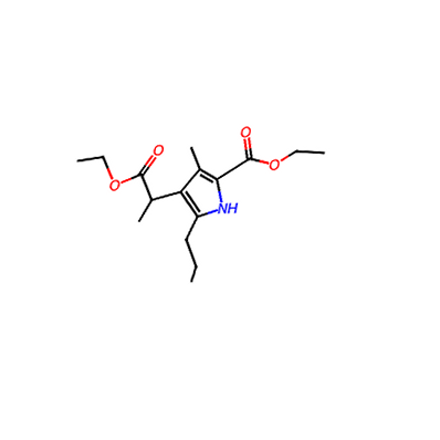 CCCc1[nH]c(C(=O)OCC)c(C)c1C(C)C(=O)OCC